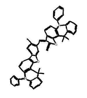 C=c1oc2c3c(ccc2/c1=C/c1cc2oc4c5c(ccc4c2cc1C)N(c1ccccc1)c1ccccc1C5(C)C)N(c1ccccc1)c1ccccc1C3(C)C